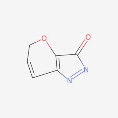 O=C1N=NC2=C1OCC=C2